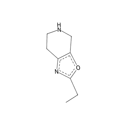 CCc1nc2c(o1)CNCC2